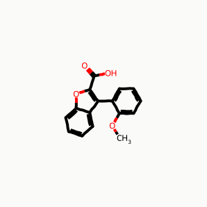 COc1ccccc1-c1c(C(=O)O)oc2ccccc12